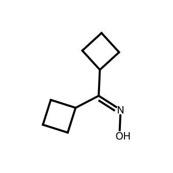 ON=C(C1CCC1)C1CCC1